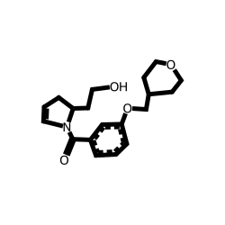 O=C(c1cccc(OCC2CCOCC2)c1)N1C=CCC1CCO